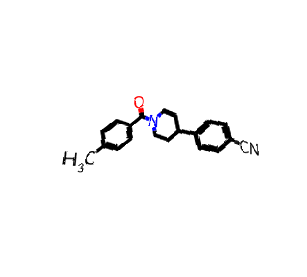 Cc1ccc(C(=O)N2CCC(c3ccc(C#N)cc3)CC2)cc1